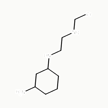 CC(C)CNCCNC1CCCC(N)C1